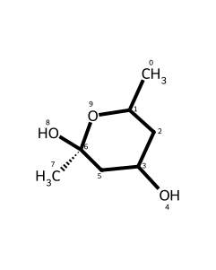 CC1CC(O)C[C@@](C)(O)O1